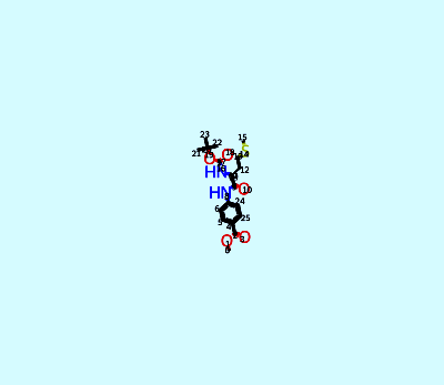 COC(=O)c1ccc(NC(=O)[C@H](CCSC)NC(=O)OC(C)(C)C)cc1